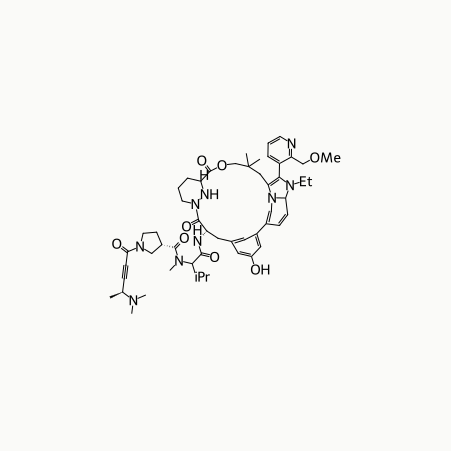 CCN1C(c2cccnc2COC)=C2CC(C)(C)COC(=O)[C@@H]3CCCN(N3)C(=O)[C@@H](NC(=O)C(C(C)C)N(C)C(=O)[C@H]3CCN(C(=O)C#C[C@H](C)N(C)C)C3)Cc3cc(O)cc(c3)C3=CN2C1C=C3